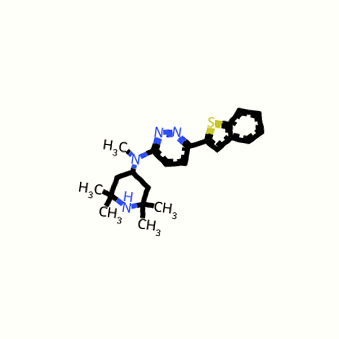 CN(c1ccc(-c2cc3ccccc3s2)nn1)C1CC(C)(C)NC(C)(C)C1